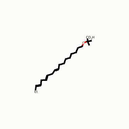 CCC=CCC=CCC=CCCCCCCCCOC(C)(C)C(=O)O